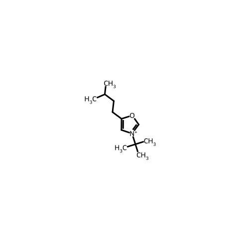 CC(C)CCc1c[n+](C(C)(C)C)co1